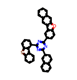 c1ccc2cc(-c3nc(-c4ccc5oc6cc7ccccc7cc6c5c4)nc(-c4cccc5sc6ccccc6c45)n3)ccc2c1